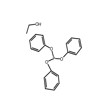 CCO.c1ccc(OP(Oc2ccccc2)Oc2ccccc2)cc1